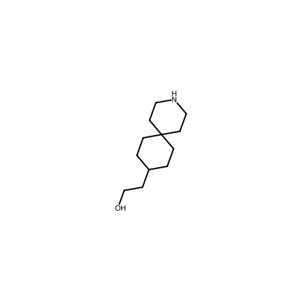 OCCC1CCC2(CCNCC2)CC1